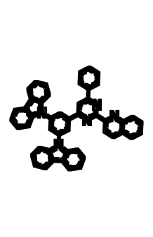 c1ccc(-c2cc(-c3cc(-n4c5ccccc5c5ccccc54)cc(-n4c5ccccc5c5ccccc54)c3)nc(-c3ccc4ccccc4n3)n2)cc1